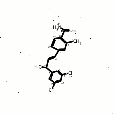 Cc1cc(/C=C/C(C)c2cc(Cl)cc(Cl)c2)ccc1C(N)=O